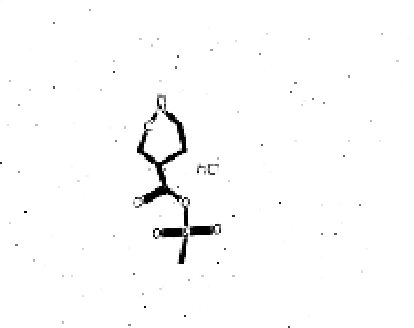 CS(=O)(=O)OC(=O)C1CCNCC1.Cl